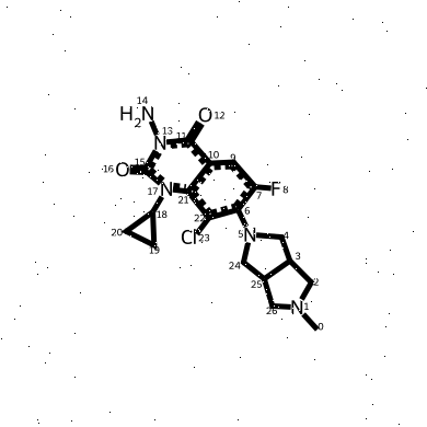 CN1CC2CN(c3c(F)cc4c(=O)n(N)c(=O)n(C5CC5)c4c3Cl)CC2C1